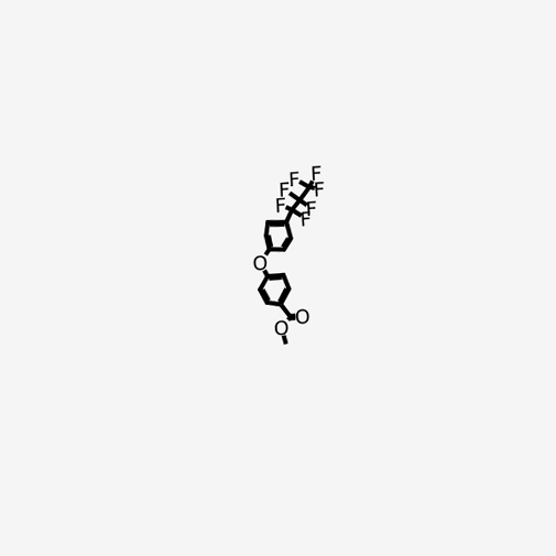 COC(=O)c1ccc(Oc2ccc(C(F)(F)C(F)(F)C(F)(F)F)cc2)cc1